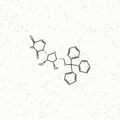 O=c1ccn([C@@H]2O[C@H](COC(c3ccccc3)(c3ccccc3)c3ccccc3)[C@@H](O)[C@H]2O)c(=O)[nH]1